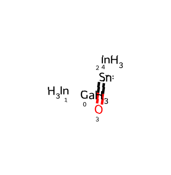 [GaH3].[InH3].[InH3].[O]=[Sn]